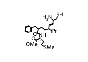 COC(=O)[C@H](CCSC)NC(=O)C(CCC(C=CC(N)CS)C(C)C)Cc1ccccc1